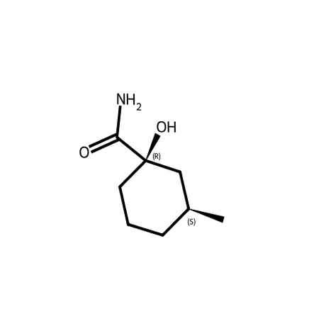 C[C@H]1CCC[C@](O)(C(N)=O)C1